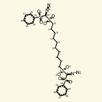 [N-]=[N+]=C(S(=O)(=O)CCCCCCCCCCS(=O)(=O)C(=[N+]=[N-])S(=O)(=O)c1ccccc1)S(=O)(=O)c1ccccc1